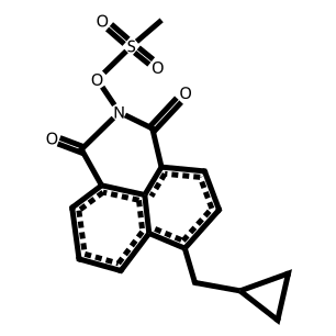 CS(=O)(=O)ON1C(=O)c2cccc3c(CC4CC4)ccc(c23)C1=O